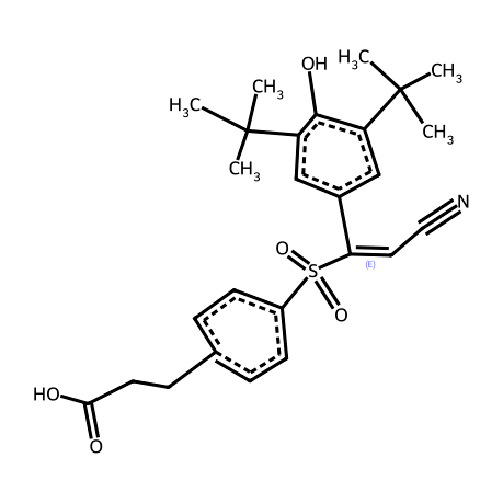 CC(C)(C)c1cc(/C(=C\C#N)S(=O)(=O)c2ccc(CCC(=O)O)cc2)cc(C(C)(C)C)c1O